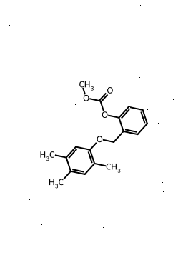 COC(=O)Oc1ccccc1COc1cc(C)c(C)cc1C